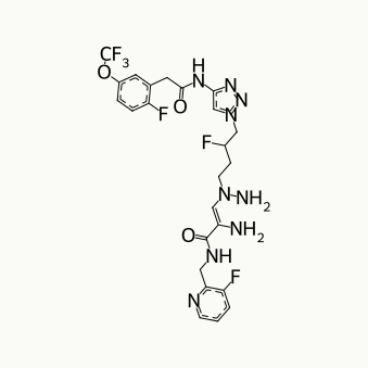 N/C(=C\N(N)CCC(F)Cn1cc(NC(=O)Cc2cc(OC(F)(F)F)ccc2F)nn1)C(=O)NCc1ncccc1F